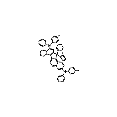 Cc1ccc(N(c2ccccc2)c2ccc3c4c(ccc3c2)-c2c(cc(N(c3ccccc3)c3ccc(C)cc3)c3ccccc23)C42c3ccccc3-c3ccccc32)cc1